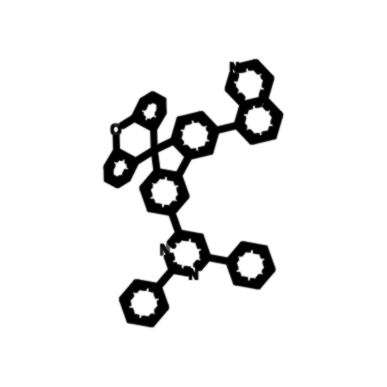 c1ccc(-c2cc(-c3ccc4c(c3)-c3cc(-c5cccc6ccncc56)ccc3C43c4ccccc4Oc4ccccc43)nc(-c3ccccc3)n2)cc1